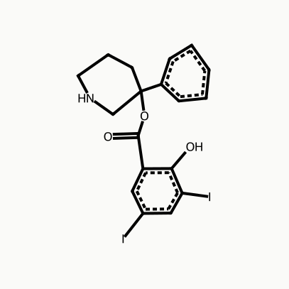 O=C(OC1(c2ccccc2)CCCNC1)c1cc(I)cc(I)c1O